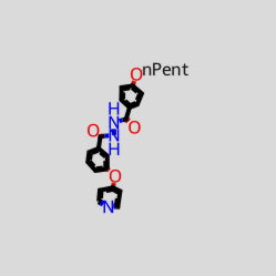 CCCCCOc1ccc(C(=O)NNC(=O)c2cccc(Oc3ccncc3)c2)cc1